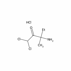 CCC(C)(N)C(=O)C(Cl)Cl.Cl